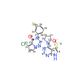 C[S+]([O-])c1c[nH]c2ncnc(N3CCC[C@H]3c3nn4ccc(Cl)c4c(=O)n3-c3cccc(F)c3)c12